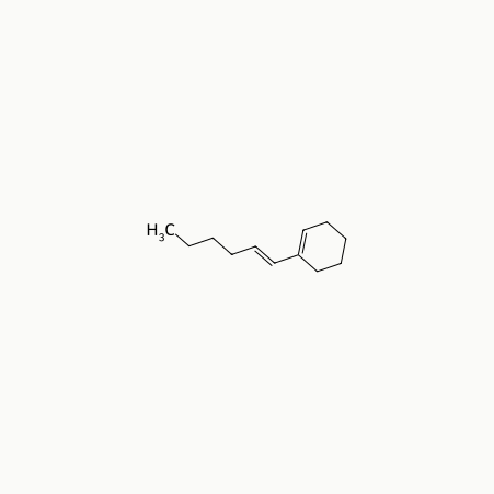 CCCCC=CC1=CCCCC1